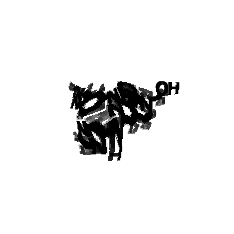 Cn1cc2cc(Nc3nc(Nc4cnccn4)cc4ccn(CCO)c(=O)c34)ccc2n1